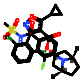 CS(=O)(=O)NC(=O)c1ccc(N2[C@@H]3CC[C@H]2C[C@H](OC(=O)c2c(-c4c(Cl)cccc4Cl)noc2C2CC2)C3)c(F)c1